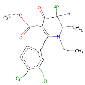 CCN1C(c2ccc(Cl)c(Cl)c2)=C(C(=O)OC)C(=O)C(Br)(I)C1C